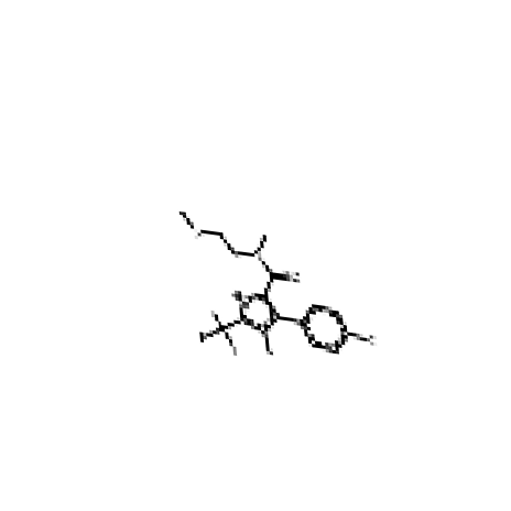 CSCCN(C)C(=O)c1[nH]c(C(F)(F)F)c(C)c1-c1ccc(Cl)cc1